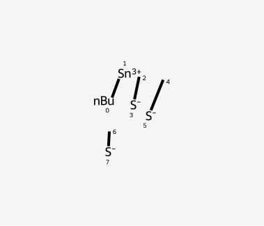 CCC[CH2][Sn+3].C[S-].C[S-].C[S-]